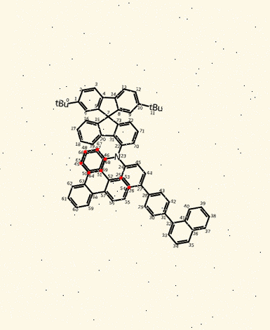 CC(C)(C)c1ccc2c(c1)C1(c3cc(C(C)(C)C)ccc3-2)c2ccccc2-c2c(N(c3ccc(-c4ccc(-c5cccc6ccccc56)cc4)cc3)c3ccccc3-c3ccccc3-c3ccccc3-c3ccccc3)cccc21